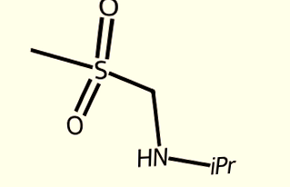 CC(C)NCS(C)(=O)=O